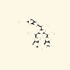 N#CC(=C1N=c2cnc(C(F)(F)F)nc2=N1)c1nc(C(C#N)=C2N=c3cnc(C(F)(F)F)nc3=N2)nc(C(C#N)=C2N=c3cnc(C(F)(F)F)nc3=N2)n1